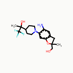 CC1(CO)Cc2cc(N)c(N3CCC(C(C)(O)C(F)(F)F)CC3)cc2O1